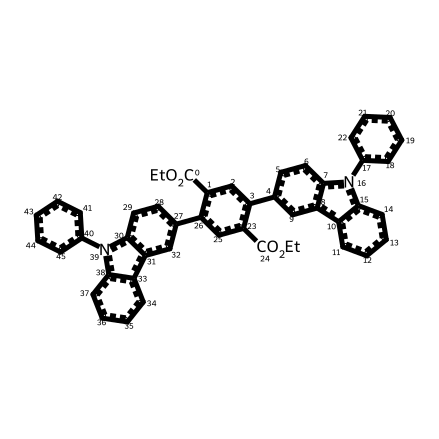 CCOC(=O)c1cc(-c2ccc3c(c2)c2ccccc2n3-c2ccccc2)c(C(=O)OCC)cc1-c1ccc2c(c1)c1ccccc1n2-c1ccccc1